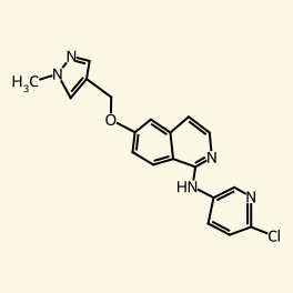 Cn1cc(COc2ccc3c(Nc4ccc(Cl)nc4)nccc3c2)cn1